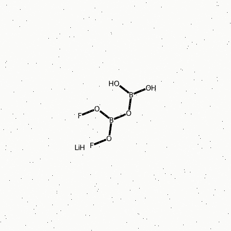 OB(O)OB(OF)OF.[LiH]